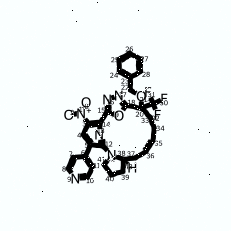 O=[N+]([O-])c1cc(-c2ccncc2)c2nc1-c1nnc(o1)C(OCc1ccccc1)(C(F)(F)F)CCC=CC[C@@H]1CCCN21